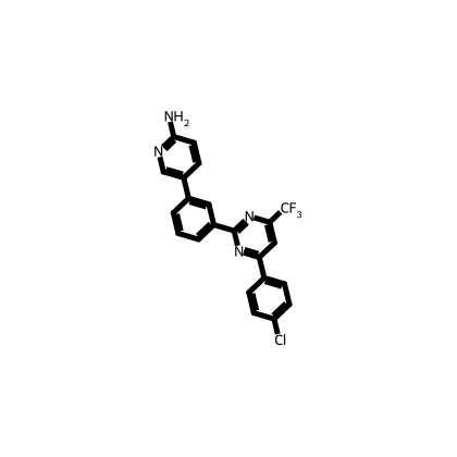 Nc1ccc(-c2cccc(-c3nc(-c4ccc(Cl)cc4)cc(C(F)(F)F)n3)c2)cn1